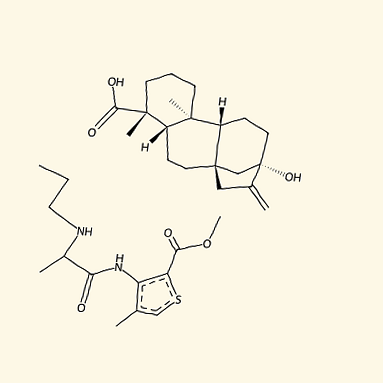 C=C1C[C@@]23CC[C@H]4[C@@](C)(CCC[C@@]4(C)C(=O)O)[C@@H]2CC[C@]1(O)C3.CCCNC(C)C(=O)Nc1c(C)csc1C(=O)OC